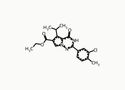 CCOC(=O)c1cn2nc(-c3ccc(C)c(Cl)c3)[nH]c(=O)c2c1C(C)C